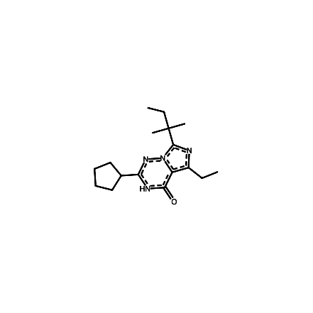 CCc1nc(C(C)(C)CC)n2nc(C3CCCC3)[nH]c(=O)c12